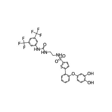 O=C(NCCNS(=O)(=O)c1ccc(-c2ccccc2Oc2ccc(O)c(O)c2)s1)Nc1cc(C(F)(F)F)cc(C(F)(F)F)c1